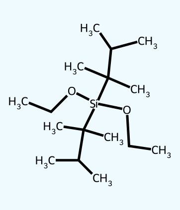 CCO[Si](OCC)(C(C)(C)C(C)C)C(C)(C)C(C)C